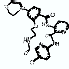 O=CNCCOc1cc(N2CCOCC2)ccc1C(=O)Nc1cccnc1C(=O)Nc1ccc(Cl)cn1